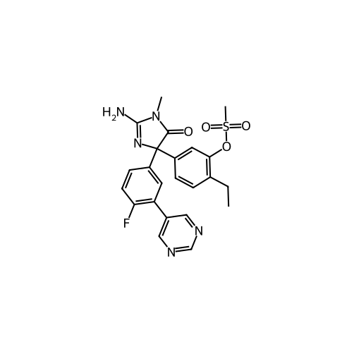 CCc1ccc(C2(c3ccc(F)c(-c4cncnc4)c3)N=C(N)N(C)C2=O)cc1OS(C)(=O)=O